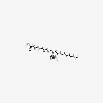 CCCCCCCCCCCCCCCCCCCCCC(=O)O.[AlH3].[CaH2]